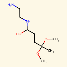 CO[Si](C)(CCC(O)NCCN)OC